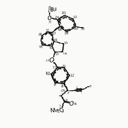 CC#C[C@@H](CC(=O)OC)c1ccc(OC2CCc3c(-c4cc(C)ccc4OCCCC)cccc32)cc1